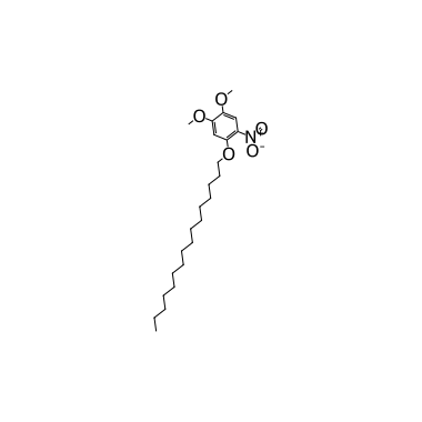 CCCCCCCCCCCCCCCCOc1cc(OC)c(OC)cc1[N+](=O)[O-]